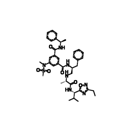 CCc1noc([C@@H](NC(=O)[C@H](C)NC[C@H](Cc2ccccc2)NC(=O)c2cc(C(=O)N[C@H](C)c3ccccc3)cc(N(C)S(C)(=O)=O)c2)C(C)C)n1